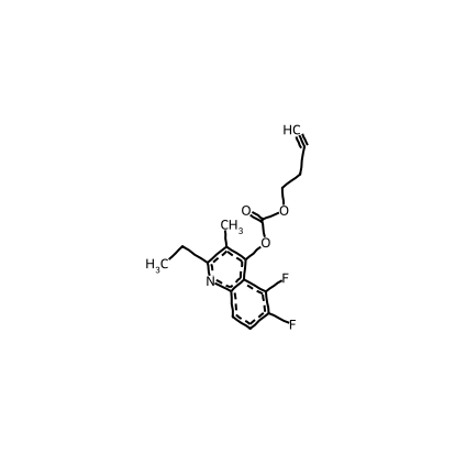 C#CCCOC(=O)Oc1c(C)c(CC)nc2ccc(F)c(F)c12